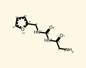 NCC(=O)NC(=O)NCc1ccco1